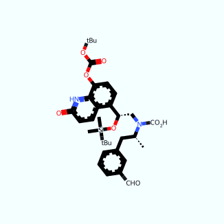 C[C@H](Cc1cccc(C=O)c1)N(C[C@H](O[Si](C)(C)C(C)(C)C)c1ccc(OC(=O)OC(C)(C)C)c2[nH]c(=O)ccc12)C(=O)O